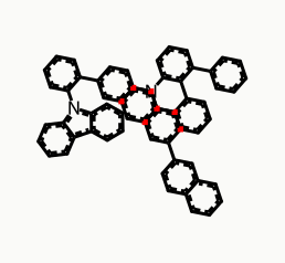 c1ccc(-c2ccccc2-c2c(-c3ccccc3)cccc2N(c2ccc(-c3ccc4ccccc4c3)cc2)c2ccc(-c3ccccc3-n3c4ccccc4c4ccccc43)cc2)cc1